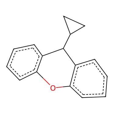 c1ccc2c(c1)Oc1ccccc1C2C1CC1